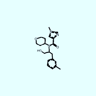 Cc1cccc(CC(CO)N(C(=O)c2cn(C)cn2)C2CCOCC2)c1